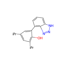 CC(C)c1cc(-c2cccc3[nH]nnc23)c(O)c(C(C)C)c1